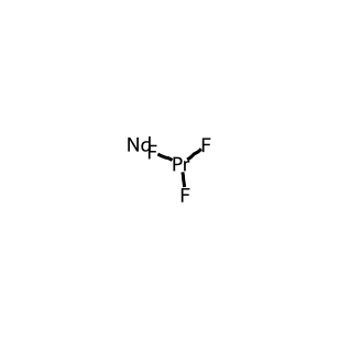 [F][Pr]([F])[F].[Nd]